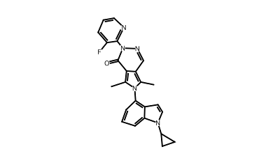 Cc1c2cnn(-c3ncccc3F)c(=O)c2c(C)n1-c1cccc2c1ccn2C1CC1